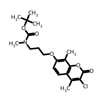 Cc1c(Cl)c(=O)oc2c(C)c(OCCCN(C)C(=O)OC(C)(C)C)ccc12